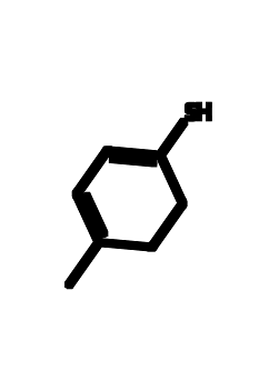 CC1=CC=C(S)CC1